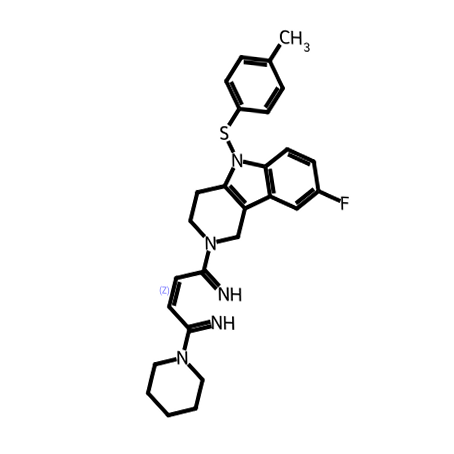 Cc1ccc(Sn2c3c(c4cc(F)ccc42)CN(C(=N)/C=C\C(=N)N2CCCCC2)CC3)cc1